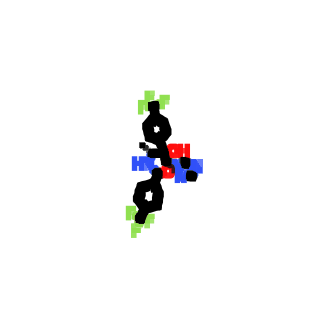 C[C@@H](NC(=O)c1ccc(C(F)(F)F)cc1)[C@](O)(Cn1cncn1)c1ccc(C(F)(F)F)cc1